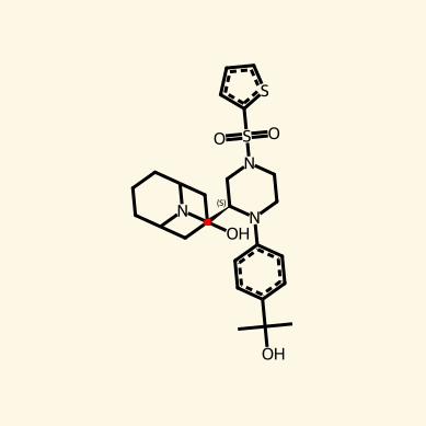 CC(C)(O)c1ccc(N2CCN(S(=O)(=O)c3cccs3)C[C@@H]2CN2C3CCCC2CC(O)C3)cc1